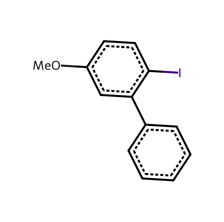 COc1ccc(I)c(-c2ccccc2)c1